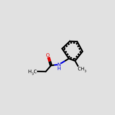 CCC(=O)Nc1c[c]ccc1C